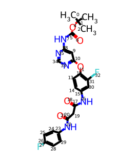 CC(C)(C)OC(=O)Nc1cc(Oc2ccc(NC(=O)CC(=O)Nc3ccc(F)cc3)cc2F)ncn1